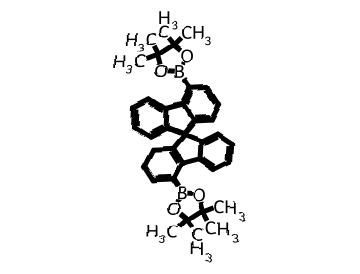 CC1(C)OB(C2=CCCC3=C2c2ccccc2C32c3ccccc3-c3c(B4OC(C)(C)C(C)(C)O4)cccc32)OC1(C)C